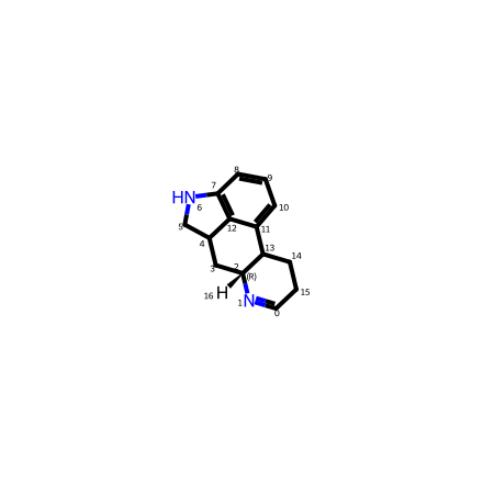 C1=N[C@@H]2CC3CNc4cccc(c43)C2CC1